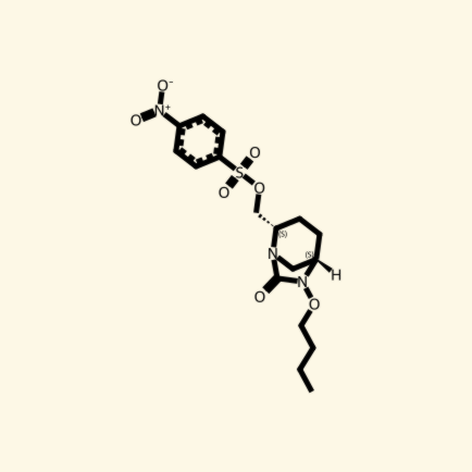 CCCCON1C(=O)N2C[C@@H]1CC[C@H]2COS(=O)(=O)c1ccc([N+](=O)[O-])cc1